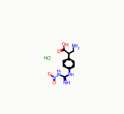 Cl.N=C(Nc1ccc(C(CN)C(=O)O)cc1)N[N+](=O)[O-]